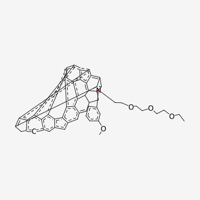 CCOCCOCCOCCN1CC2C3=c4c5c6c7c8c9c(cc%10cc%11cc%12cc%13c%14c(c4c6c4c%14c%12c6c%11c%10c9c7c64)=C(C3)C%13)=CC3CC2(C=5C83)C1c1cccc(OC)c1